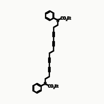 CCOC(=O)N(CCC#CC#CCCC#CC#CCCN(C(=O)OCC)c1ccccc1)c1ccccc1